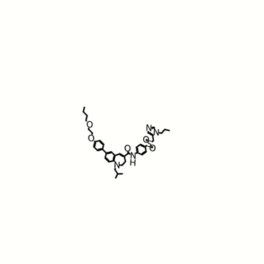 CCCCOCCOc1ccc(-c2ccc3c(c2)C=C(C(=O)Nc2ccc(S(=O)(=O)Cc4cncn4CCC)cc2)CCN3CC(C)C)cc1